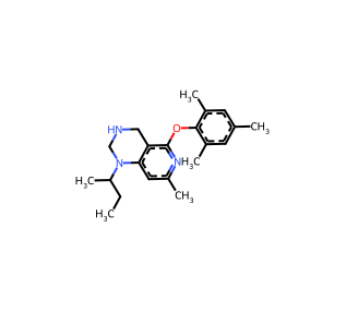 CCC(C)N1CNCc2c1cc(C)nc2Oc1c(C)cc(C)cc1C